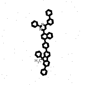 CC1(c2ccccc2)c2cc(-c3ccccc3)ccc2-c2ccc(-c3ccc(-c4ccc(-c5cc(-c6cccc(-c7ccccc7)c6)nc(-c6ccccc6)n5)c5ccccc45)cc3)cc21